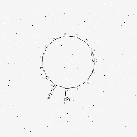 CCCC1CCC/C=C\CCCCCCCOC1=O